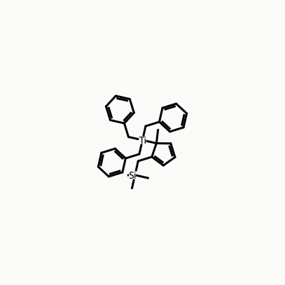 C[C]1([Ti]([CH2]c2ccccc2)([CH2]c2ccccc2)[CH2]c2ccccc2)C=CC=C1C[Si](C)(C)C